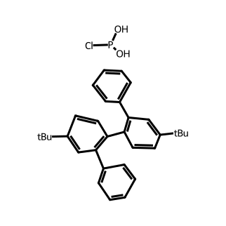 CC(C)(C)c1ccc(-c2ccc(C(C)(C)C)cc2-c2ccccc2)c(-c2ccccc2)c1.OP(O)Cl